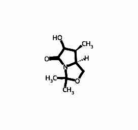 C[C@@H]1C(O)C(=O)N2[C@@H]1COC2(C)C